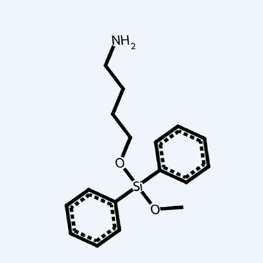 CO[Si](OCCCCN)(c1ccccc1)c1ccccc1